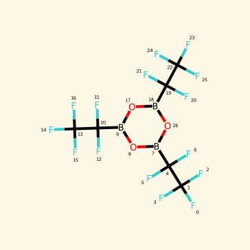 FC(F)(F)C(F)(F)B1OB(C(F)(F)C(F)(F)F)OB(C(F)(F)C(F)(F)F)O1